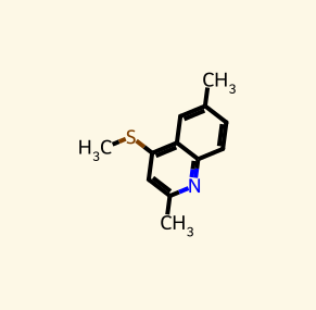 CSc1cc(C)nc2ccc(C)cc12